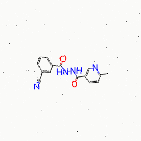 Cc1ccc(C(=O)NNC(=O)c2cccc(C#N)c2)cn1